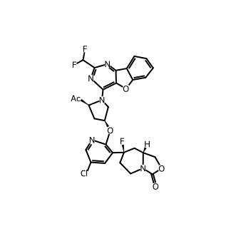 CC(=O)[C@@H]1C[C@H](Oc2ncc(Cl)cc2[C@@]2(F)CCN3C(=O)OC[C@H]3C2)CN1c1nc(C(F)F)nc2c1oc1ccccc12